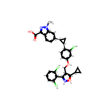 Cn1nc(C(=O)O)c2ccc([C@H]3C[C@H]3c3ccc(OCc4c(-c5c(Cl)cccc5Cl)noc4C4CC4)cc3Cl)cc21